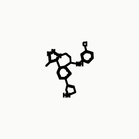 Cc1nnn2c1-c1ccc(C3=CCNC3)cc1C(Nc1cccc(Cl)c1)CC2